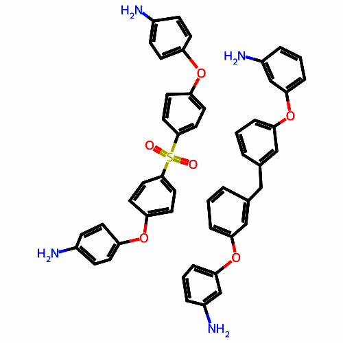 Nc1ccc(Oc2ccc(S(=O)(=O)c3ccc(Oc4ccc(N)cc4)cc3)cc2)cc1.Nc1cccc(Oc2cccc(Cc3cccc(Oc4cccc(N)c4)c3)c2)c1